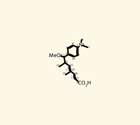 COC(c1ccc(N(C)C)cc1)C(C)/C=C(C)/C=C/C(=O)O